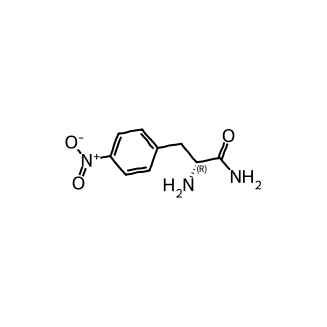 NC(=O)[C@H](N)Cc1ccc([N+](=O)[O-])cc1